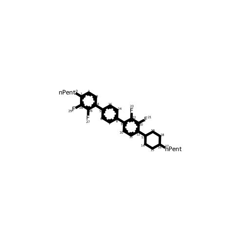 CCCCCc1ccc(-c2ccc(-c3ccc(C4CCC(CCCCC)CC4)c(F)c3F)cc2)c(F)c1F